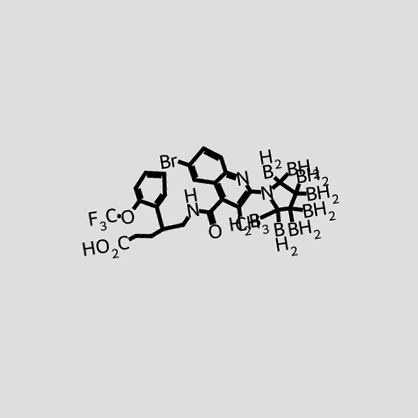 BC1(B)N(c2nc3ccc(Br)cc3c(C(=O)NCC(CCC(=O)O)c3ccccc3OC(F)(F)F)c2C)C(B)(B)C(B)(B)C1(B)B